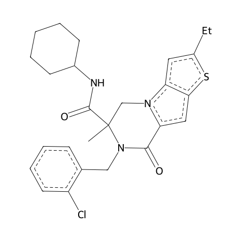 CCc1cc2c(cc3n2CC(C)(C(=O)NC2CCCCC2)N(Cc2ccccc2Cl)C3=O)s1